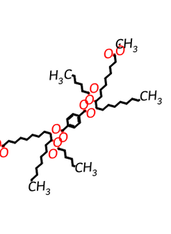 CCCCCCCCC(OC(=O)CCCCC)C(CCCCCCCC(=O)OC)OC(=O)c1ccc(C(=O)OC(CCCCCCCC)C(CCCCCCCC(=O)OC)OC(=O)CCCCC)cc1